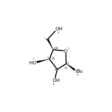 CC(C)(C)[C@@H]1O[C@H](CO)[C@H](O)C1O